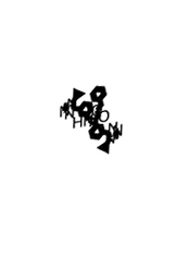 O=C(OCc1ccccc1)N(Nc1cccc(-c2nncn2C2CC2)c1)c1cccc(-c2nncn2C2CC2)c1